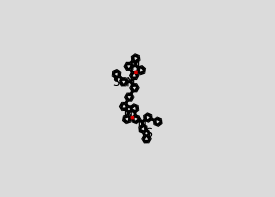 c1ccc(-c2cccc(N(c3cccc(-c4cccc5c6c(-c7ccc(-c8cccc(N(c9cccc(-c%10cccc%11c%12ccccc%12n(-c%12ccccc%12)c%10%11)c9)c9ccc%10sc%11ccccc%11c%10c9)c8)cc7)cccc6n(-c6ccccc6)c45)c3)c3ccc4c(c3)sc3ccccc34)c2)cc1